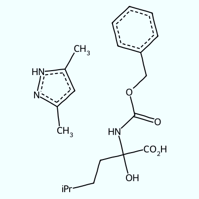 CC(C)CCC(O)(NC(=O)OCc1ccccc1)C(=O)O.Cc1cc(C)[nH]n1